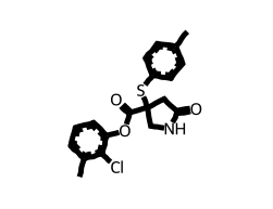 Cc1ccc(SC2(C(=O)Oc3cccc(C)c3Cl)CNC(=O)C2)cc1